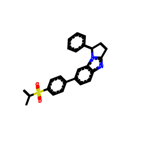 CC(C)S(=O)(=O)c1ccc(-c2ccc3nc4n(c3c2)C(c2ccccc2)CC4)cc1